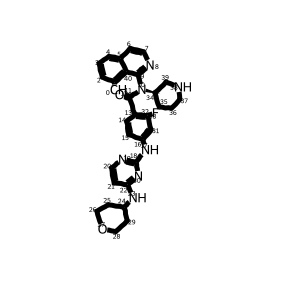 Cc1cccc2ccnc(N(C(=O)c3ccc(Nc4nccc(NC5CCOCC5)n4)cc3F)[C@@H]3CCCNC3)c12